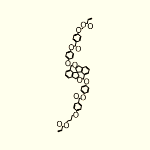 C=CC(=O)OCCCOc1ccc(C(=O)Oc2ccc(OC(=O)c3cccc4c3C3(CC4)CCc4cccc(C(=O)Oc5ccc(OC(=O)c6ccc(OCOC(=O)C=C)cc6)cc5)c43)cc2)cc1